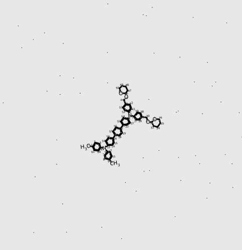 Cc1ccc(N(c2ccc(C)cc2)c2ccc(-c3ccc(-c4ccc(N(c5ccc(COC6CCCCO6)cc5)c5ccc(COC6CCCCO6)cc5)cc4)cc3)cc2)cc1